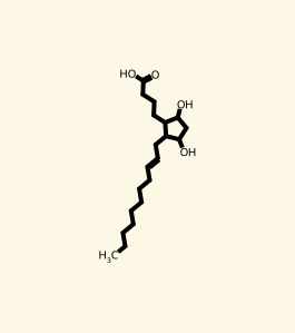 CCCCCCCCC=CCC1C(O)CC(O)C1CCCC(=O)O